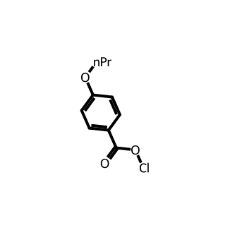 CCCOc1ccc(C(=O)OCl)cc1